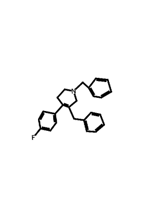 Fc1ccc(C2=C(Cc3ccccc3)CN(Cc3ccccc3)CC2)cc1